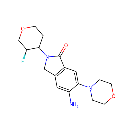 Nc1cc2c(cc1N1CCOCC1)C(=O)N(C1CCOC[C@@H]1F)C2